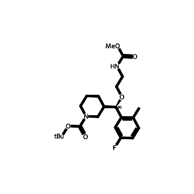 COC(=O)NCCO[C@@H](c1cc(F)ccc1C)C1CCCN(C(=O)OC(C)(C)C)C1